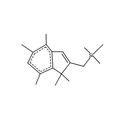 Cc1cc(C)c2c(c1C)C=C(C[Si](C)(C)C)C2(C)C